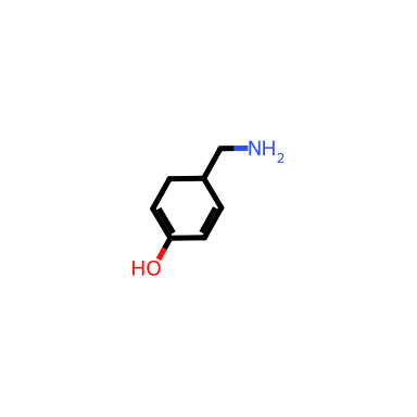 NCC1C=CC(O)=CC1